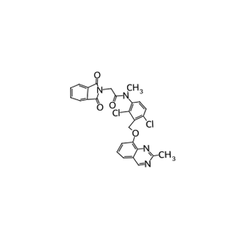 Cc1ncc2cccc(OCc3c(Cl)ccc(N(C)C(=O)CN4C(=O)c5ccccc5C4=O)c3Cl)c2n1